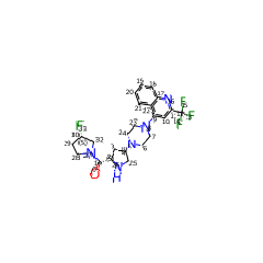 O=C([C@@H]1C[C@H](N2CCN(c3cc(C(F)(F)F)nc4ccccc34)CC2)CN1)N1CC[C@H](F)C1